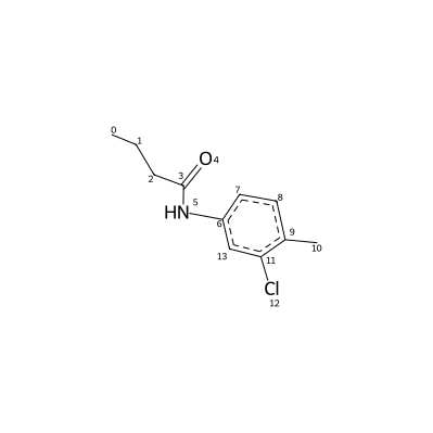 CCCC(=O)Nc1ccc(C)c(Cl)c1